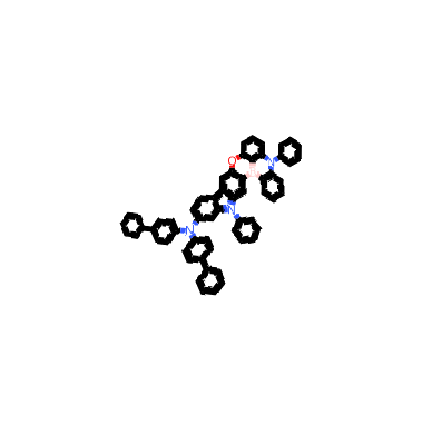 c1ccc(-c2ccc(N(c3ccc(-c4ccccc4)cc3)c3ccc4c5cc6c(cc5n(-c5ccccc5)c4c3)B3c4ccccc4N(c4ccccc4)c4cccc(c43)O6)cc2)cc1